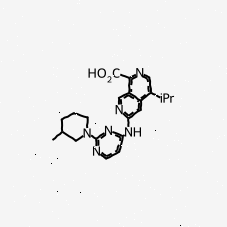 CC1CCCN(c2nccc(Nc3cc4c(C(C)C)cnc(C(=O)O)c4cn3)n2)C1